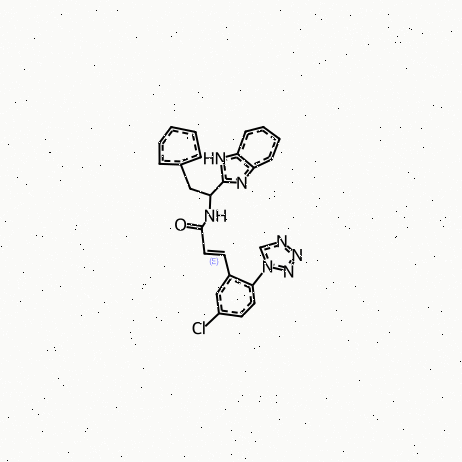 O=C(/C=C/c1cc(Cl)ccc1-n1cnnn1)NC(Cc1ccccc1)c1nc2ccccc2[nH]1